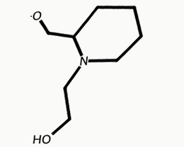 [O]CC1CCCCN1CCO